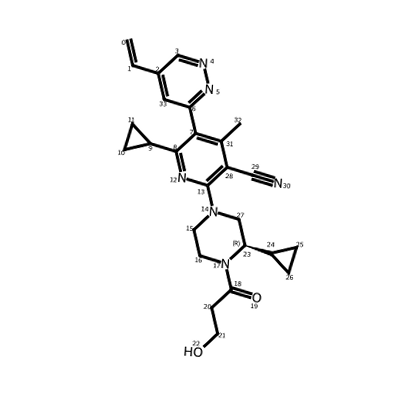 C=Cc1cnnc(-c2c(C3CC3)nc(N3CCN(C(=O)CCO)[C@H](C4CC4)C3)c(C#N)c2C)c1